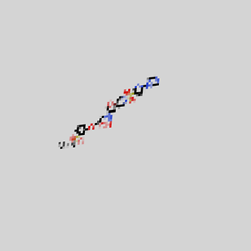 CNS(=O)(=O)c1cccc(OC[C@@H](O)CNC2COC3(CCN(S(=O)(=O)c4ccc(N5CCNCC5)nc4)CC3)C2)c1